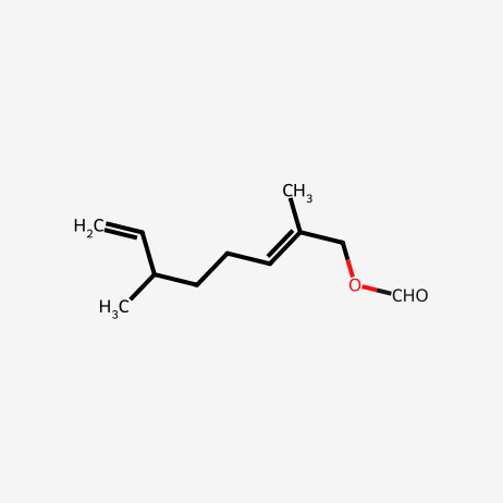 C=CC(C)CCC=C(C)COC=O